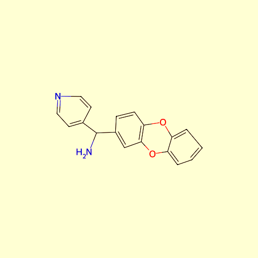 NC(c1ccncc1)c1ccc2c(c1)Oc1ccccc1O2